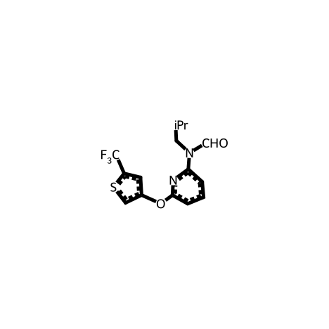 CC(C)CN(C=O)c1cccc(Oc2csc(C(F)(F)F)c2)n1